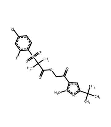 Cn1nc(C(C)(C)C)cc1C(=O)COC(=O)C(C)(C)S(=O)(=O)c1ccc(Cl)cc1F